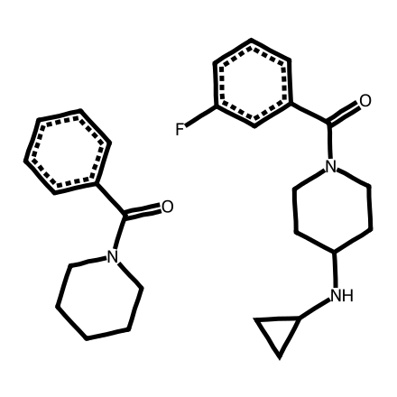 O=C(c1cccc(F)c1)N1CCC(NC2CC2)CC1.O=C(c1ccccc1)N1CCCCC1